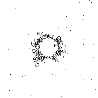 CC(C)C[C@H]1C(=O)N[C@@H]([C@@H](C)O)C(=O)N(C)[C@@H](Cc2ccccc2)C(=O)NCC(O)N(C)[C@@H](CC(C)C)C(=O)N(C)[C@@H](C(C)C)C(=O)N[C@@H](Cc2ccccc2)C(=O)N[C@H](C(=O)N(C)[C@@H](Cc2ccccc2)C(=O)N[C@@H](C)C(=O)N2CCCCC2)CC(=O)N(C)CCCC(=O)N[C@@H](C(C)C)C(=O)N1C